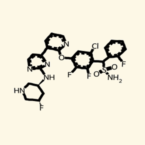 NS(=O)(=O)C(c1ccccc1F)c1c(Cl)cc(Oc2ncccc2-c2ccnc(N[C@@H]3CNC[C@@H](F)C3)n2)c(F)c1F